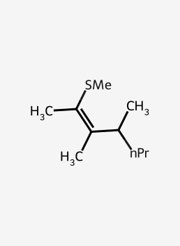 CCCC(C)/C(C)=C(/C)SC